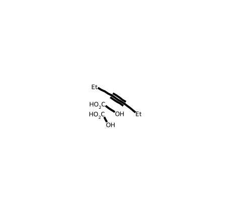 CCC#CCC.O=C(O)O.O=C(O)O